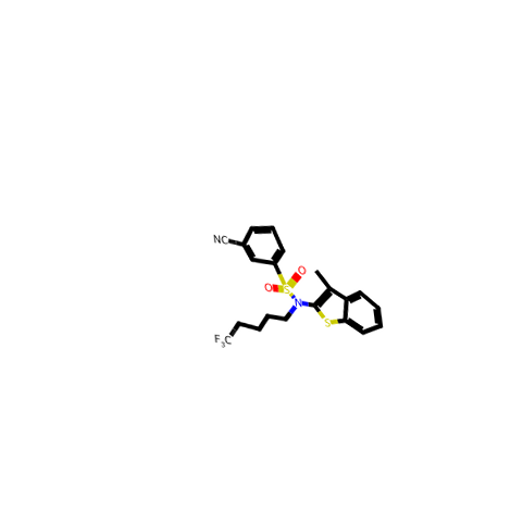 Cc1c(N(CCCCC(F)(F)F)S(=O)(=O)c2cccc(C#N)c2)sc2ccccc12